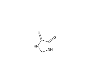 O=C1NCNC1=O